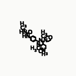 CCNC(=O)Nc1ccc(-c2nc(N3CCOCC3C)c3c(n2)C(C)(C)NCC3)cc1